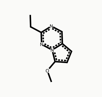 CCc1ncc2ccc(OC)n2n1